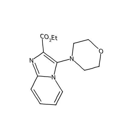 CCOC(=O)c1nc2ccccn2c1N1CCOCC1